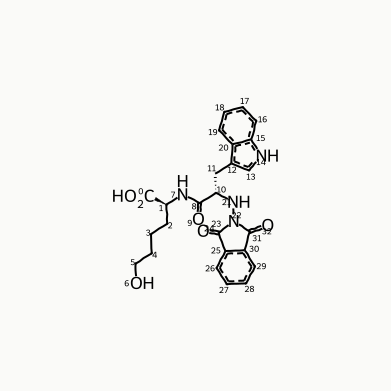 O=C(O)[C@H](CCCCO)NC(=O)[C@H](Cc1c[nH]c2ccccc12)NN1C(=O)c2ccccc2C1=O